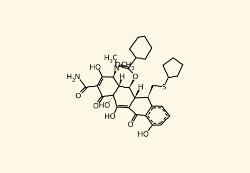 CN(C)[C@@H]1C(O)=C(C(N)=O)C(=O)[C@]2(O)C(O)=C3C(=O)c4c(O)cccc4[C@H](CSC4CCCC4)[C@H]3[C@H](OC(=O)C3CCCCC3)[C@@H]12